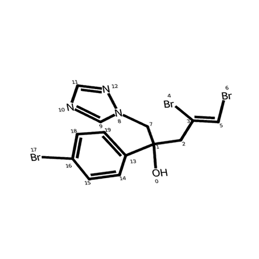 OC(CC(Br)=CBr)(Cn1cncn1)c1ccc(Br)cc1